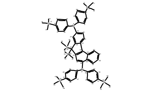 C[Si](C)(C)c1ccc(N(c2ccc([Si](C)(C)C)cc2)c2ccc3c(c2)C([Si](C)(C)C)([Si](C)(C)C)c2cc(N(c4ccc([Si](C)(C)C)cc4)c4ccc([Si](C)(C)C)cc4)c4ccccc4c2-3)cc1